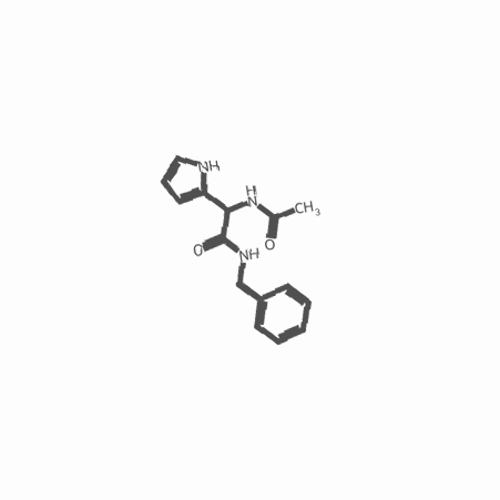 CC(=O)NC(C(=O)NCc1ccccc1)c1ccc[nH]1